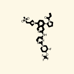 C=CC(=O)N1CCC[C@H]1c1ccc(N2CC(CS(C)(=O)=O)C2)c2cnc(Nc3ccnc(N4CC[C@@H](OC(F)(F)F)[C@@H](F)C4)n3)cc12